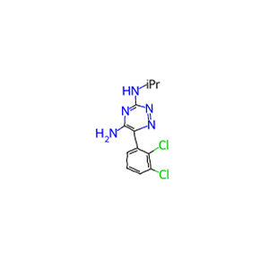 CC(C)Nc1nnc(-c2cccc(Cl)c2Cl)c(N)n1